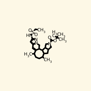 CCS(=O)(=O)Nc1cc2n(n1)CC1C(=C2)C(C)CCC(C)C2CC3CN(C(=O)OC(C)(C)C)CC3C12